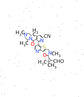 Cc1cc(C#N)nc(-c2ccnc3cc(CN(C)C(=O)C4C(C=O)C4(C)C)sc23)c1C(=O)N1CCN(C)CC1C